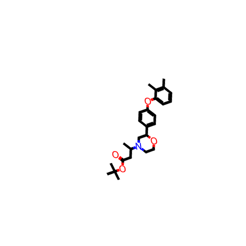 Cc1cccc(Oc2ccc(C3CN(C(C)CC(=O)OC(C)(C)C)CCO3)cc2)c1C